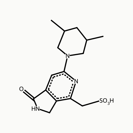 CC1CC(C)CN(c2cc3c(c(CS(=O)(=O)O)n2)CNC3=O)C1